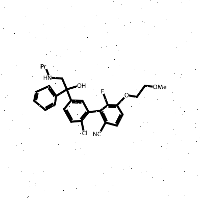 COCCOc1ccc(C#N)c(-c2cc(C(O)(CNC(C)C)c3ccccc3)ccc2Cl)c1F